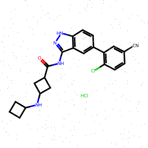 Cl.N#Cc1ccc(Cl)c(-c2ccc3[nH]nc(NC(=O)C4CC(NC5CCC5)C4)c3c2)c1